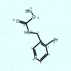 CC(C)c1ccncc1CNC(=O)OC(C)(C)C